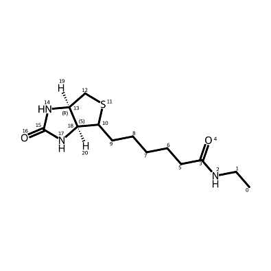 CCNC(=O)CCCCCC1SC[C@@H]2NC(=O)N[C@H]12